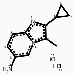 Cc1c(C2CC2)nc2ccc(N)cn12.Cl.Cl